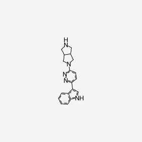 c1ccc2c(-c3ccc(N4CC5CNCC5C4)nn3)c[nH]c2c1